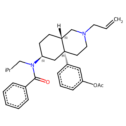 C=CCN1CC[C@@]2(c3cccc(OC(C)=O)c3)C[C@@H](N(CC(C)C)C(=O)c3ccccc3)CC[C@@H]2C1